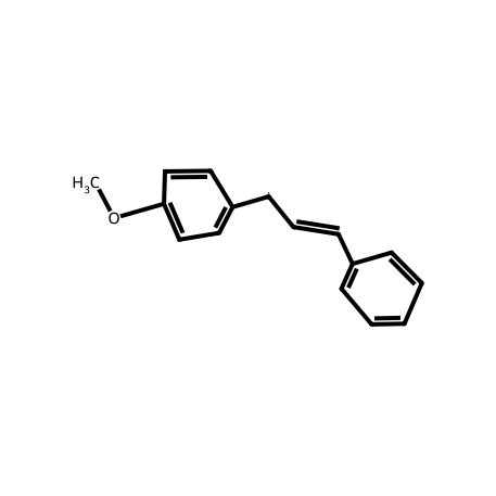 COc1ccc([CH]/C=C/c2ccccc2)cc1